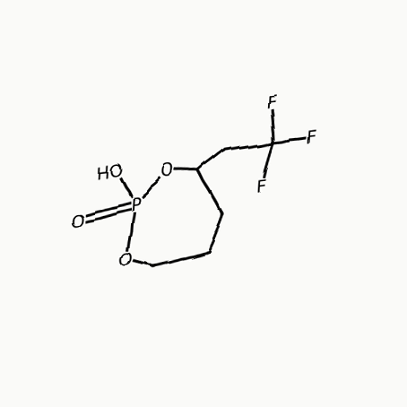 O=P1(O)OCCCC(CC(F)(F)F)O1